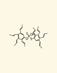 CC=Cc1cc(OP(O)(=S)Sc2cc(C=CC)c(C=CC)c(C=CC)c2C=CC)c(C=CC)c(C=CC)c1C=CC